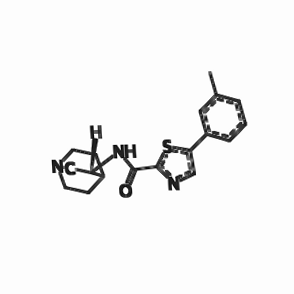 Cc1cccc(-c2cnc(C(=O)N[C@H]3CN4CCC3CC4)s2)c1